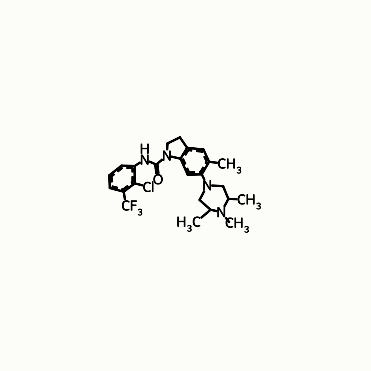 Cc1cc2c(cc1N1CC(C)N(C)C(C)C1)N(C(=O)Nc1cccc(C(F)(F)F)c1Cl)CC2